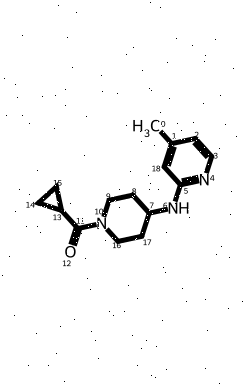 Cc1ccnc(NC2CCN(C(=O)C3CC3)CC2)c1